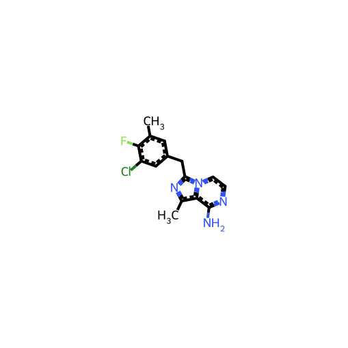 Cc1cc(Cc2nc(C)c3c(N)nccn23)cc(Cl)c1F